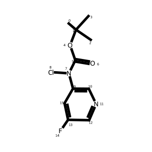 CC(C)(C)OC(=O)N(Cl)c1cncc(F)c1